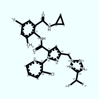 Cc1cc(F)cc(C(=O)NC2CC2)c1NC(=O)c1cc(Cn2nnc(C(F)F)n2)nn1-c1ncccc1Cl